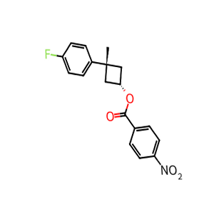 C[C@]1(c2ccc(F)cc2)C[C@@H](OC(=O)c2ccc([N+](=O)[O-])cc2)C1